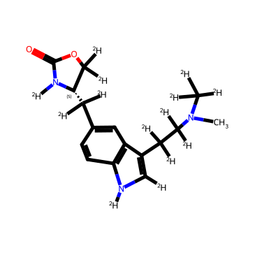 [2H]c1c(C([2H])([2H])C([2H])([2H])N(C)C([2H])([2H])[2H])c2cc(C([2H])([2H])[C@@H]3N([2H])C(=O)OC3([2H])[2H])ccc2n1[2H]